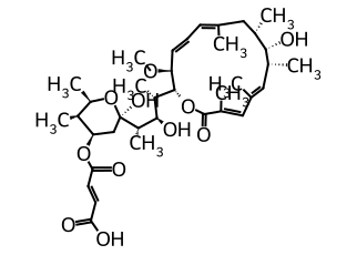 CO[C@H]1/C=C/C=C(\C)C[C@H](C)[C@H](O)[C@H](C)/C=C(C)/C=C(\C)C(=O)O[C@@H]1[C@@H](C)[C@@H](O)[C@H](C)[C@@]1(O)C[C@@H](OC(=O)/C=C/C(=O)O)[C@@H](C)[C@@H](C)O1